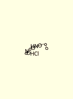 Cl.c1ccc(-c2cccc(CCCOCCNCCOCc3ccc(-c4nc5ccccc5o4)cc3)c2)cc1